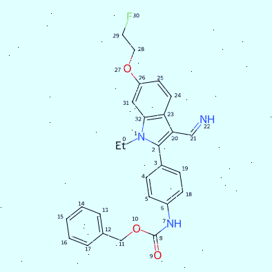 CCn1c(-c2ccc(NC(=O)OCc3ccccc3)cc2)c(C=N)c2ccc(OCCF)cc21